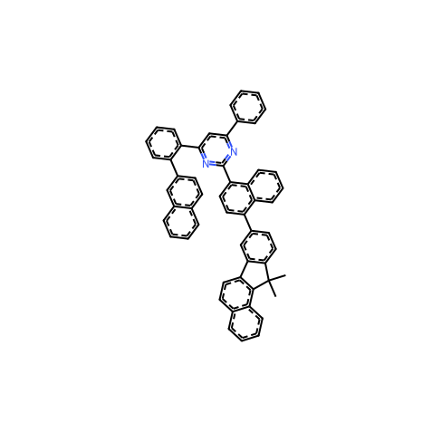 CC1(C)c2ccc(-c3ccc(-c4nc(-c5ccccc5)cc(-c5ccccc5-c5ccc6ccccc6c5)n4)c4ccccc34)cc2-c2ccc3ccccc3c21